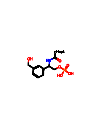 CCCCCCCC(=O)NC(COP(=O)(O)O)c1cccc(CO)c1